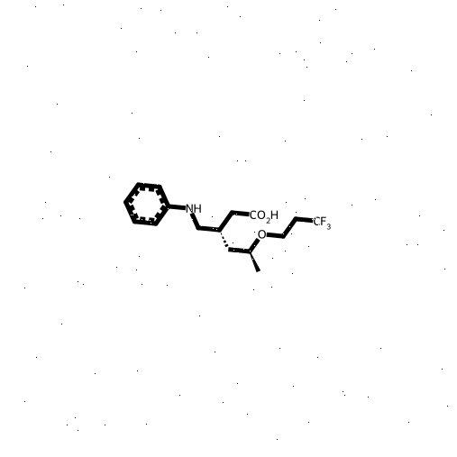 C[C@@H](C[C@H](CNc1ccccc1)CC(=O)O)OCCC(F)(F)F